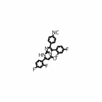 [C-]#[N+]c1ccc(-c2nc3[nH]c(-c4ccc(F)cc4F)cc(=O)n3c2-c2ccc(F)cc2F)cc1